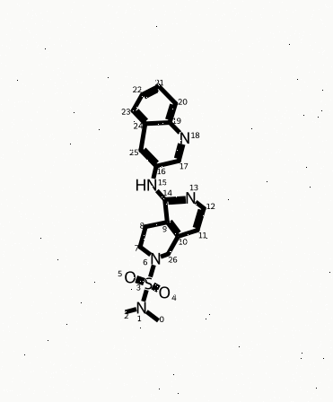 CN(C)S(=O)(=O)N1CCc2c(ccnc2Nc2cnc3ccccc3c2)C1